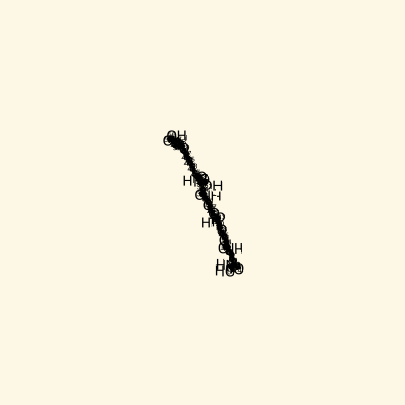 CN[C@@](C=O)(CO)CCCCNC(=O)COCCOCCNC(=O)COCCOCCNC(=O)CC[C@H](NC(=O)CCCCCCCCCOc1ccc(C(=O)O)cc1)C(=O)O